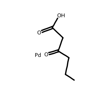 CCCC(=O)CC(=O)O.[Pd]